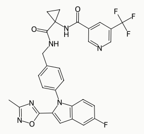 Cc1noc(-c2cc3cc(F)ccc3n2-c2ccc(CNC(=O)C3(NC(=O)c4cncc(C(F)(F)F)c4)CC3)cc2)n1